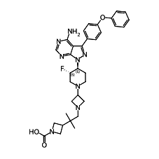 CC(C)(CN1CC(N2CC[C@H](n3nc(-c4ccc(Oc5ccccc5)cc4)c4c(N)ncnc43)[C@@H](F)C2)C1)C1CN(C(=O)O)C1